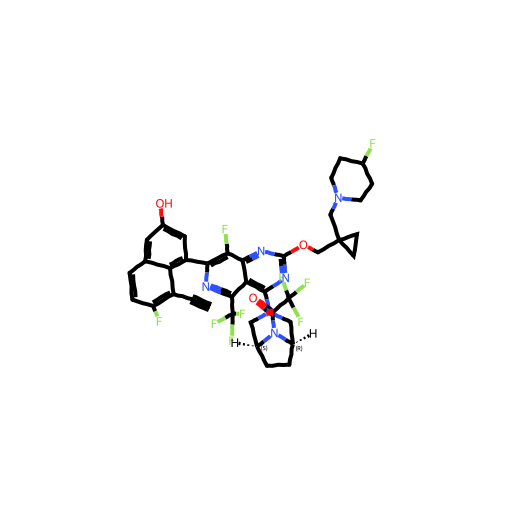 C#Cc1c(F)ccc2cc(O)cc(-c3nc(C(F)(F)F)c4c(N5C[C@H]6CC[C@@H](C5)N6C(=O)C(F)(F)F)nc(OCC5(CN6CCC(F)CC6)CC5)nc4c3F)c12